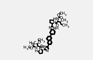 CC[C@H](C)[C@H](NC(=O)OC)C(=O)N1CCCC1c1nc2cc(-c3ccc4cc(-c5cnc([C@@H]6CCCN6C(=O)[C@@H](NC(=O)OC)[C@@H](C)OC)[nH]5)ccc4c3)ccc2[nH]1